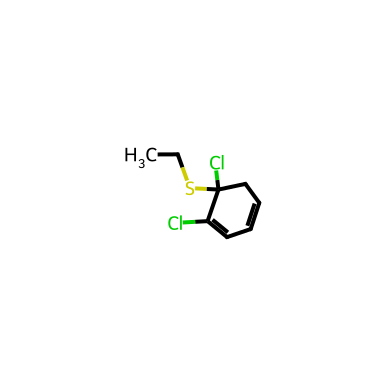 CCSC1(Cl)CC=CC=C1Cl